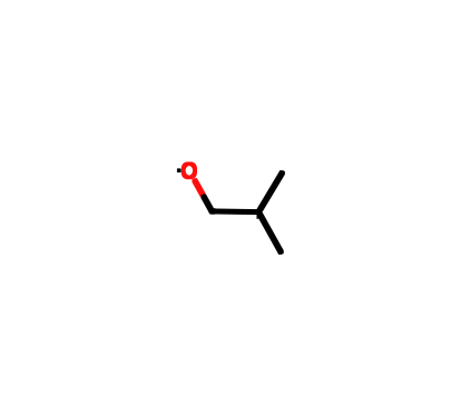 C[C](C)C[O]